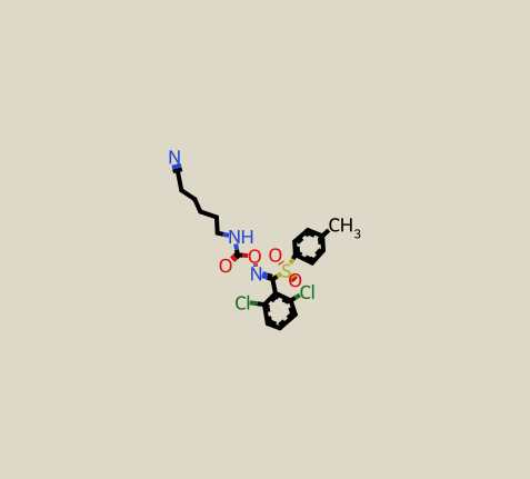 Cc1ccc(S(=O)(=O)C(=NOC(=O)NCCCCCC#N)c2c(Cl)cccc2Cl)cc1